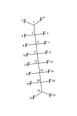 FC(F)C(F)(F)C(F)(F)C(F)(F)C(F)(F)C(F)(F)C(F)(F)C(F)F